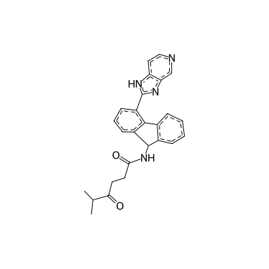 CC(C)C(=O)CCC(=O)NC1c2ccccc2-c2c(-c3nc4cnccc4[nH]3)cccc21